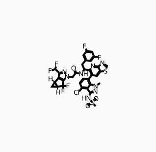 Cn1nc(NS(C)(=O)=O)c2c(Cl)ccc(-c3cc4scnc4nc3C(Cc3cc(F)cc(F)c3)NC(=O)Cn3nc(C(F)F)c4c3C(F)(F)[C@@H]3C[C@H]43)c21